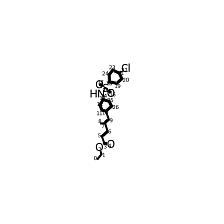 CCOC(=O)/C=C/C(C)=C/c1ccc(NS(=O)(=O)c2ccc(Cl)cc2)cc1